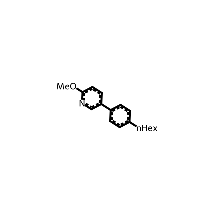 CCCCCCc1ccc(-c2ccc(OC)nc2)cc1